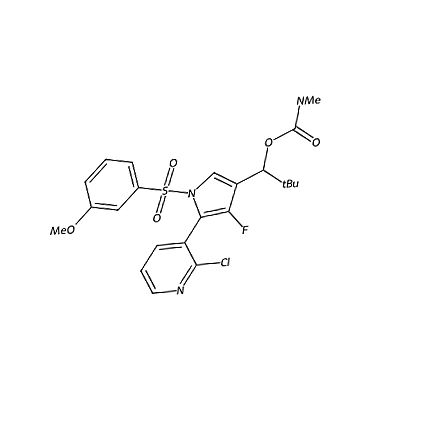 CNC(=O)OC(c1cn(S(=O)(=O)c2cccc(OC)c2)c(-c2cccnc2Cl)c1F)C(C)(C)C